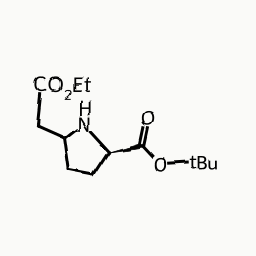 CCOC(=O)CC1CC[C@H](C(=O)OC(C)(C)C)N1